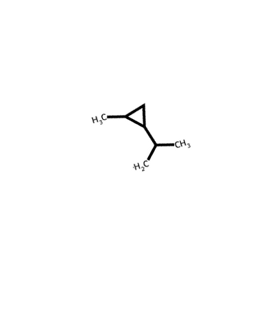 [CH2]C(C)C1CC1C